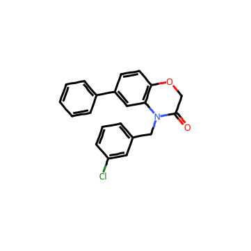 O=C1COc2ccc(-c3ccccc3)cc2N1Cc1cccc(Cl)c1